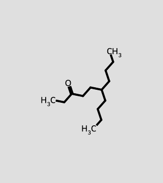 CCCCC(CCCC)CCC(=O)CC